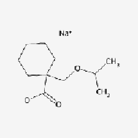 CC(C)OCC1(C(=O)[O-])CCCCC1.[Na+]